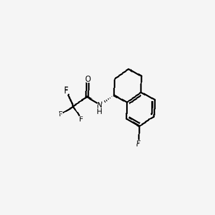 O=C(N[C@@H]1CCCc2ccc(F)cc21)C(F)(F)F